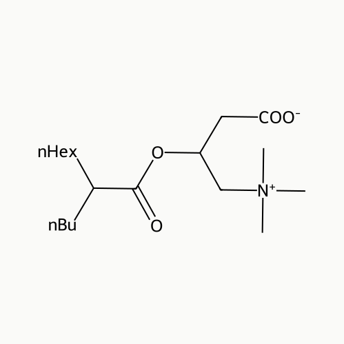 CCCCCCC(CCCC)C(=O)OC(CC(=O)[O-])C[N+](C)(C)C